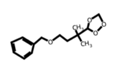 CC(C)(CCOCc1ccccc1)C1OCOO1